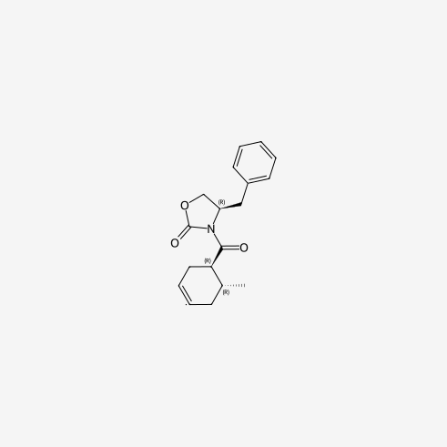 C[C@@H]1C[C]=CC[C@H]1C(=O)N1C(=O)OC[C@H]1Cc1ccccc1